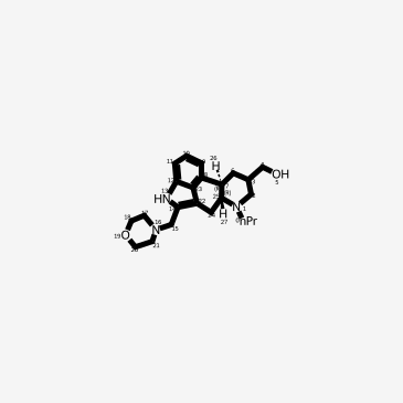 CCCN1CC(CO)C[C@@H]2c3cccc4[nH]c(CN5CCOCC5)c(c34)C[C@H]21